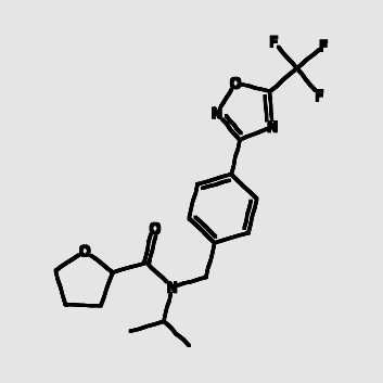 CC(C)N(Cc1ccc(-c2noc(C(F)(F)F)n2)cc1)C(=O)C1CCCO1